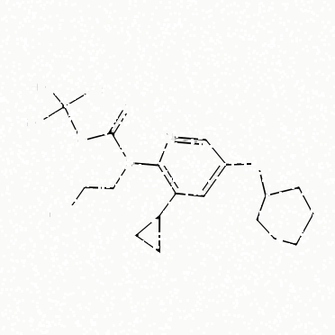 CCCN(C(=O)OC(C)(C)C)c1ncc(SC2CCCCC2)cc1C1CC1